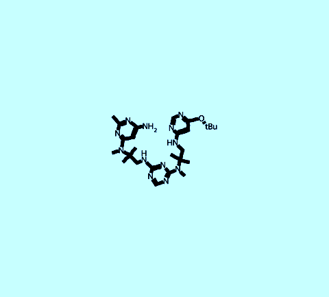 Cc1nc(N)cc(N(C)C(C)(C)CNc2ncnc(N(C)C(C)(C)CNc3cc(OC(C)(C)C)ncn3)n2)n1